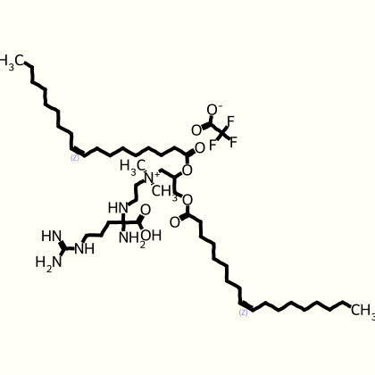 CCCCCCCC/C=C\CCCCCCCC(=O)OCC(C[N+](C)(C)CCNC(N)(CCCNC(=N)N)C(=O)O)OC(=O)CCCCCCC/C=C\CCCCCCCC.O=C([O-])C(F)(F)F